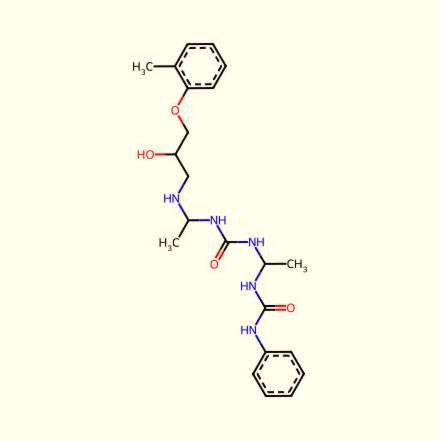 Cc1ccccc1OCC(O)CNC(C)NC(=O)NC(C)NC(=O)Nc1ccccc1